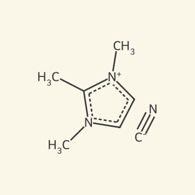 Cc1n(C)cc[n+]1C.[C-]#N